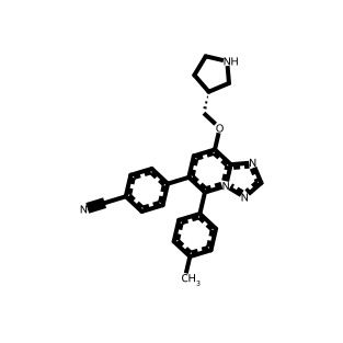 Cc1ccc(-c2c(-c3ccc(C#N)cc3)cc(OC[C@@H]3CCNC3)c3ncnn23)cc1